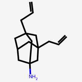 C=CCC12CC3CC(N)(C1)CC(CC=C)(C3)C2